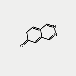 O=C1C=c2cnncc2=CC1